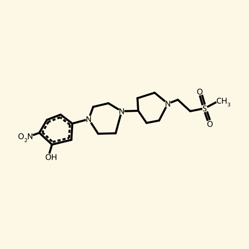 CS(=O)(=O)CCN1CCC(N2CCN(c3ccc([N+](=O)[O-])c(O)c3)CC2)CC1